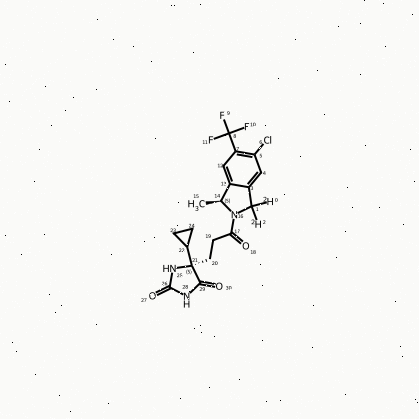 [2H]C1([2H])c2cc(Cl)c(C(F)(F)F)cc2[C@H](C)N1C(=O)CC[C@@]1(C2CC2)NC(=O)NC1=O